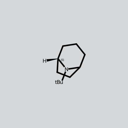 CC(C)(C)N1C2CCC[C@H]1CC2